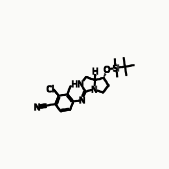 Cc1c(/N=C2\NC[C@@H]3[C@H](O[Si](C)(C)C(C)(C)C)CCN23)ccc(C#N)c1Cl